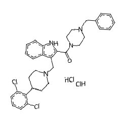 Cl.Cl.O=C(c1[nH]c2ccccc2c1CN1CCC(c2c(Cl)cccc2Cl)CC1)N1CCN(Cc2ccccc2)CC1